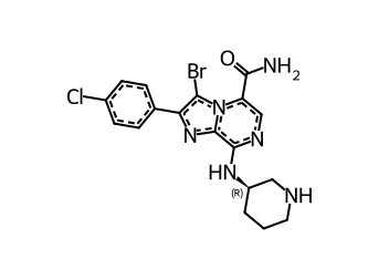 NC(=O)c1cnc(N[C@@H]2CCCNC2)c2nc(-c3ccc(Cl)cc3)c(Br)n12